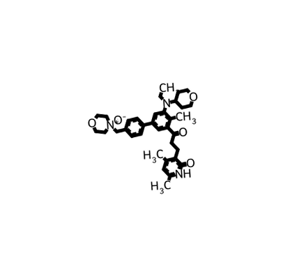 CCN(c1cc(-c2ccc(C[N+]3([O-])CCOCC3)cc2)cc(C(=O)CCc2c(C)cc(C)[nH]c2=O)c1C)C1CCOCC1